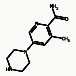 Cc1cc(N2CCNCC2)cnc1C(N)=O